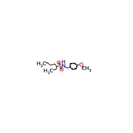 C=CCCC(CC)S(=O)(=O)NCc1ccc(OC)cc1